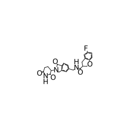 O=C1CCC(N2Cc3cc(CNC(=O)C4COc5ccc(F)cc5C4)ccc3C2=O)C(=O)N1